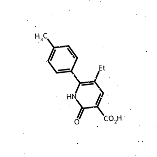 CCc1cc(C(=O)O)c(=O)[nH]c1-c1ccc(C)cc1